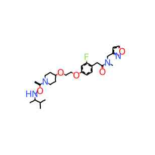 C=C(ONC(C)C(C)C)N1CCC(OCCOc2ccc(CC(=O)N(C)Cc3ccon3)c(F)c2)CC1